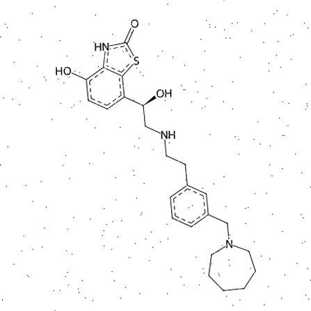 O=c1[nH]c2c(O)ccc([C@@H](O)CNCCc3cccc(CN4CCCCCC4)c3)c2s1